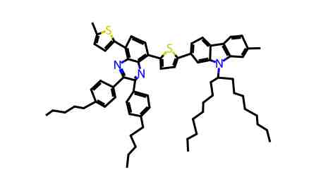 CCCCCCCCC(CCCCCCCC)n1c2cc(C)ccc2c2ccc(-c3ccc(-c4ccc(-c5ccc(C)s5)c5nc(-c6ccc(CCCCC)cc6)c(-c6ccc(CCCCC)cc6)nc45)s3)cc21